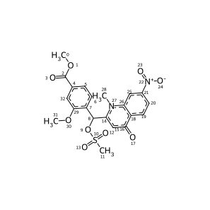 COC(=O)c1ccc(C(OS(C)(=O)=O)c2cc(=O)c3ccc([N+](=O)[O-])cc3n2C)c(OC)c1